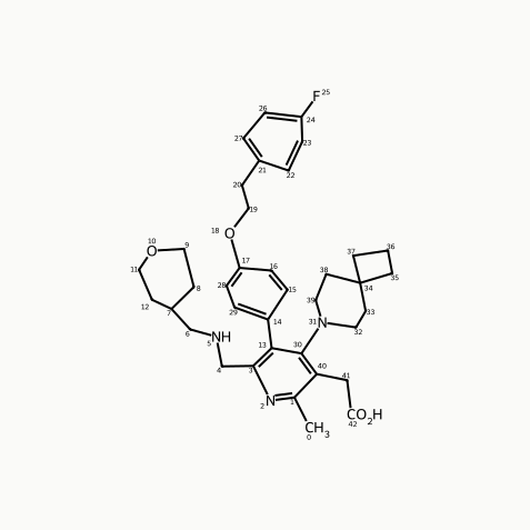 Cc1nc(CNCC2CCOCC2)c(-c2ccc(OCCc3ccc(F)cc3)cc2)c(N2CCC3(CCC3)CC2)c1CC(=O)O